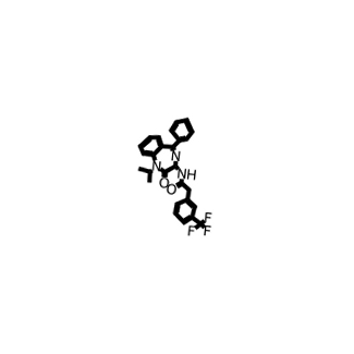 CC(C)N1C(=O)C(NC(=O)Cc2cccc(C(F)(F)F)c2)N=C(c2ccccc2)c2ccccc21